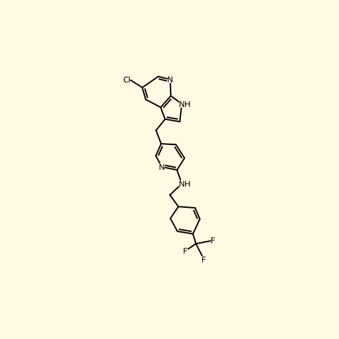 FC(F)(F)C1=CCC(CNc2ccc(Cc3c[nH]c4ncc(Cl)cc34)cn2)C=C1